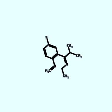 C=Nc1ccc(F)cc1/C(=N\CC)C(C)C